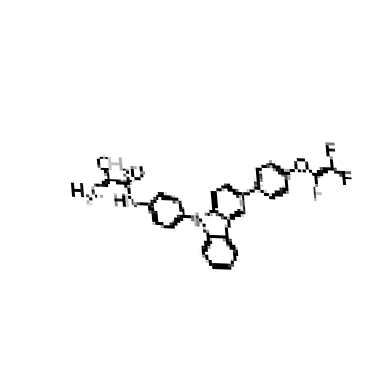 C=C(C)C(=O)Nc1ccc(-n2c3ccccc3c3cc(-c4ccc(OC(F)=C(F)F)cc4)ccc32)cc1